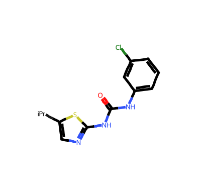 CC(C)c1cnc(NC(=O)Nc2cccc(Cl)c2)s1